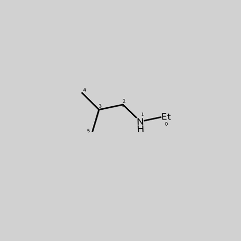 CCN[CH]C(C)C